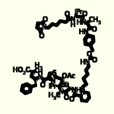 CC[C@H](C)[C@H](NC(=O)C1CCCCN1CCCCCCNC(=O)OCc1ccc(NC(=O)C(C)NC(=O)C(NC(=O)CCCCCN2C(=O)C=CC2=O)C(C)C)cc1)C(=O)N(C)[C@H](C[C@@H](OC(C)=O)c1nc(C(=O)N[C@@H](Cc2ccccc2)C[C@H](C)C(=O)O)cs1)C(C)C